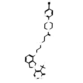 N#Cc1ccc(N2CCN(C(=O)CCNCCOc3cccc4c3CN(c3cn[nH]c(=O)c3C(F)(F)F)C4)CC2)nc1